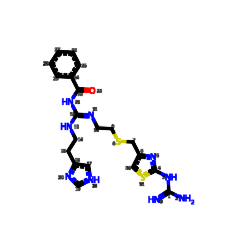 N=C(N)Nc1nc(CSCCN=C(NCCc2c[nH]cn2)NC(=O)c2ccccc2)cs1